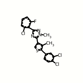 Cc1c(-c2nc(-c3c(F)cccc3Cl)nn2C)csc1-c1ccc(Cl)c(Cl)c1